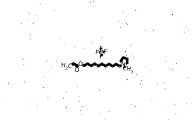 C=CC(=O)OCCCCCCCCCCC[N+]1(C)CCCC1.F[B-](F)(F)F